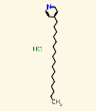 CCCCCCCCCCCCCCCCCc1ccncc1.Cl